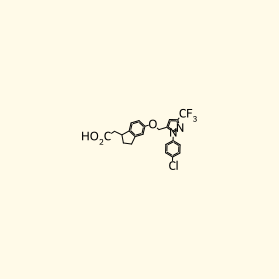 O=C(O)CC1CCc2cc(OCc3cc(C(F)(F)F)nn3-c3ccc(Cl)cc3)ccc21